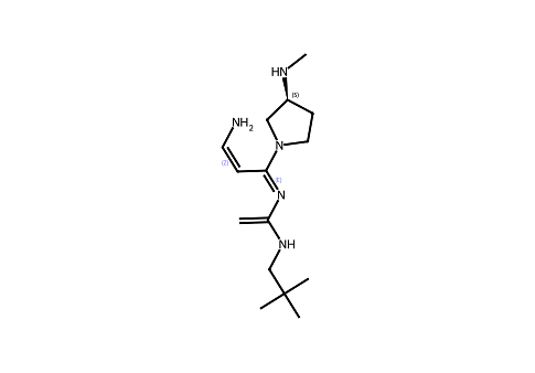 C=C(/N=C(\C=C/N)N1CC[C@H](NC)C1)NCC(C)(C)C